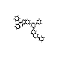 c1ccc(-c2ccc3ccc(-c4nc(-c5ccccc5)nc(-c5ccc6oc7c(-c8ccccc8)c8ccccc8cc7c6c5)n4)cc3c2)cc1